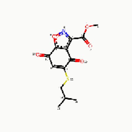 COC(=O)c1noc2c1C(=O)C(SCC(C)C)=CC2=O